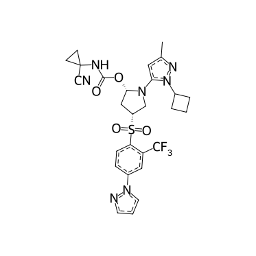 Cc1cc(N2C[C@H](S(=O)(=O)c3ccc(-n4cccn4)cc3C(F)(F)F)C[C@@H]2OC(=O)NC2(C#N)CC2)n(C2CCC2)n1